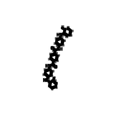 C[n+]1ccccc1Nc1ccc(NC(=O)c2ccc(C(=O)Nc3ccc(Nc4cccc[n+]4C)cc3)cc2)cc1